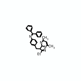 CCC1=NN2C(C)=CC(C)=NC2C1Cc1ccc(N=C(c2ccccc2)c2ccccc2)cc1